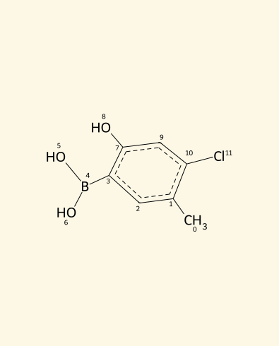 Cc1cc(B(O)O)c(O)cc1Cl